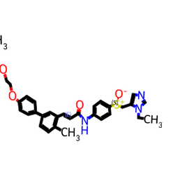 CCCCOCCOc1ccc(-c2ccc(C)c(/C=C/C(=O)Nc3ccc([S@+]([O-])Cc4cncn4CC)cc3)c2)cc1